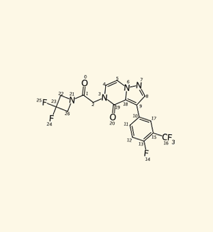 O=C(Cn1ccn2ncc(-c3ccc(F)c(C(F)(F)F)c3)c2c1=O)N1CC(F)(F)C1